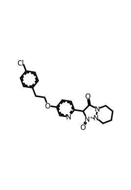 O=C1C(c2ccc(OCCc3ccc(Cl)cc3)cn2)[N+](=O)N2CCCCN12